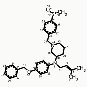 CC(C)=CCN(c1ccc(OCc2ccccc2)cc1)C1CCCN(Cc2ccc([S+](C)[O-])cc2)C1